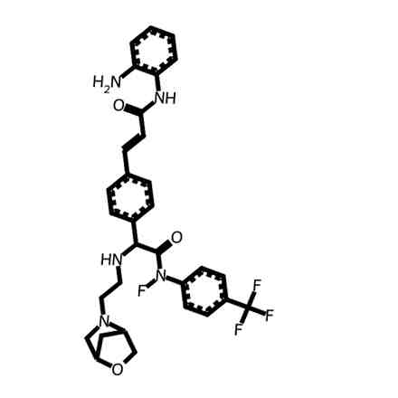 Nc1ccccc1NC(=O)C=Cc1ccc(C(NCCN2CC3CC2CO3)C(=O)N(F)c2ccc(C(F)(F)F)cc2)cc1